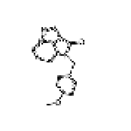 COc1ccc(Cn2c(=O)c3cnn4cccc2c34)cc1